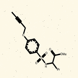 CC#CCOc1ccc(S(=O)(=O)NC(C(=O)OC)C(C)C)cc1